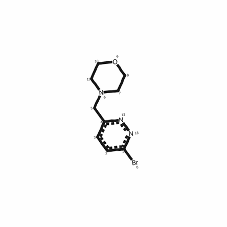 Brc1ccc(CN2CCOCC2)nn1